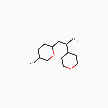 CC(C)C1CCC(CC(C)C2CCOCC2)OC1